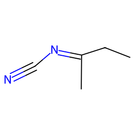 CC/C(C)=N/C#N